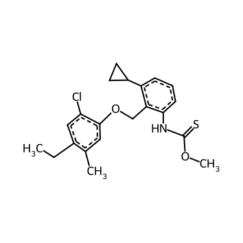 CCc1cc(Cl)c(OCc2c(NC(=S)OC)cccc2C2CC2)cc1C